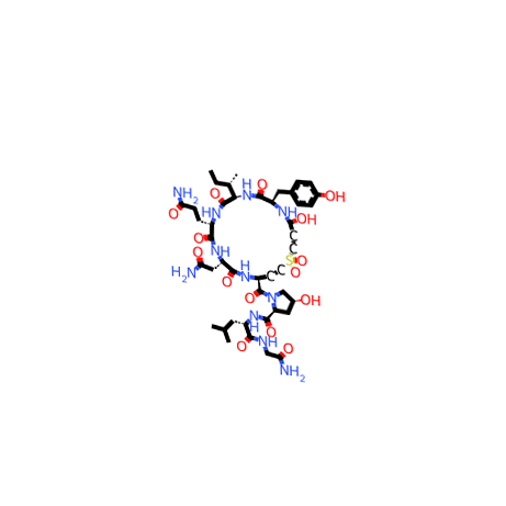 CC[C@H](C)[C@@H]1NC(=O)[C@@H](Cc2ccc(O)cc2)NC(O)CCS(=O)(=O)CC[C@@H](C(=O)N2C[C@H](O)C[C@H]2C(=O)N[C@@H](CC(C)C)C(=O)NCC(N)=O)NC(=O)[C@H](CC(N)=O)NC(=O)[C@H](CCC(N)=O)NC1=O